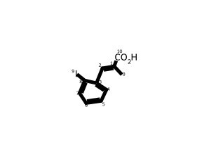 C/C(=C\c1ccccc1I)C(=O)O